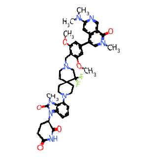 COc1cc(-c2cn(C)c(=O)c3cnc(N(C)C)cc23)cc(OC)c1CN1CCC2(CCN(c3cccc4c3n(C)c(=O)n4C3CCC(=O)NC3=O)CC2)C(F)(F)C1